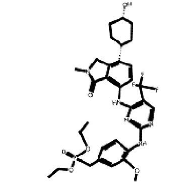 CCOP(=O)(Cc1ccc(Nc2ncc(C(F)(F)F)c(Nc3ccc([C@H]4CC[C@@H](O)CC4)c4c3C(=O)N(C)C4)n2)c(OC)c1)OCC